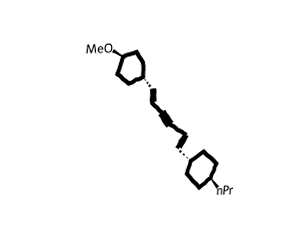 CCC[C@H]1CC[C@H](C=CC#CC=C[C@H]2CC[C@H](OC)CC2)CC1